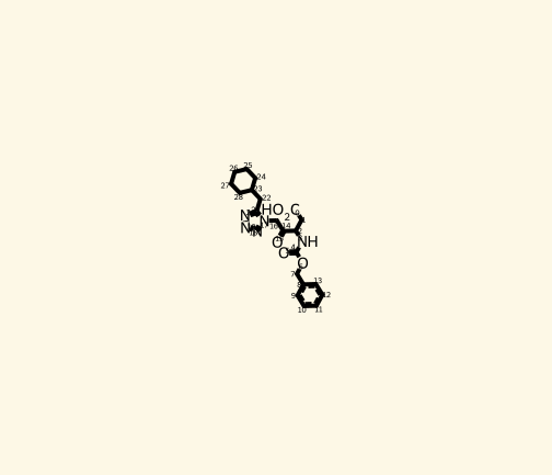 O=C(O)CC(NC(=O)OCc1ccccc1)C(=O)Cn1nnnc1CC1CCCCC1